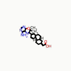 CC1(C)Oc2ncnc(N)c2N=C1c1ccc2c(c1)CC[C@@H]1C/C(=C\C(=O)O)CC[C@H]21